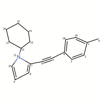 Cc1ccc(C#Cc2cccn2C2CCCCC2)cc1